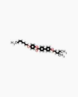 CC/C=C\CCCCOc1ccc(OC(=O)c2ccc(-c3ccc(OCCC[C@@H](C)CC)cc3)cc2)cc1